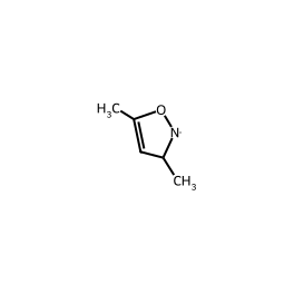 CC1=CC(C)[N]O1